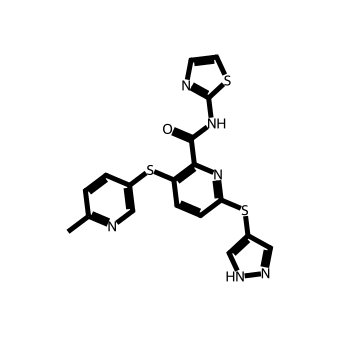 Cc1ccc(Sc2ccc(Sc3cn[nH]c3)nc2C(=O)Nc2nccs2)cn1